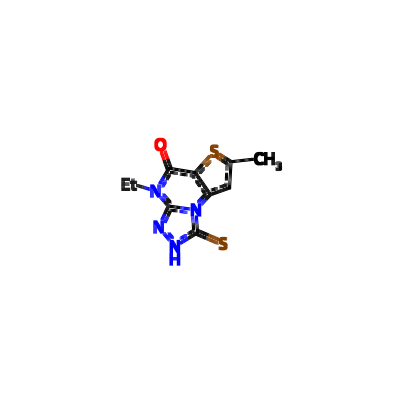 CCn1c(=O)c2sc(C)cc2n2c(=S)[nH]nc12